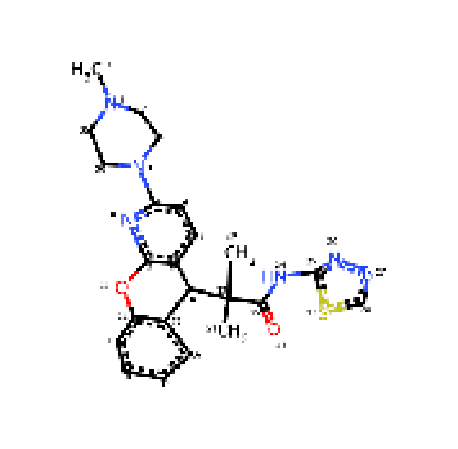 CN1CCN(c2ccc3c(n2)Oc2ccccc2C3C(C)(C)C(=O)Nc2nncs2)CC1